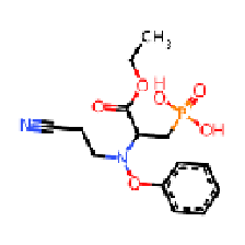 CCOC(=O)C(CP(=O)(O)O)N(CCC#N)Oc1ccccc1